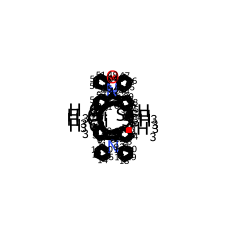 C[Si]1(C)c2cccc3c(N(c4ccccc4)c4ccccc4)c4cccc(c4cc23)[Si](C)(C)[Si](C)(C)c2cccc3c(N4c5ccccc5Oc5ccccc54)c4cccc(c4cc23)[Si]1(C)C